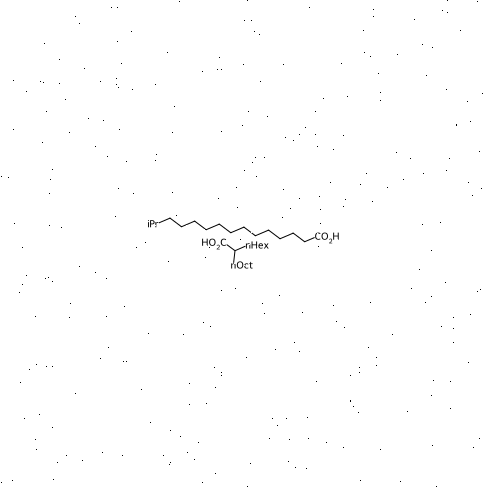 CC(C)CCCCCCCCCCCCC(=O)O.CCCCCCCCC(CCCCCC)C(=O)O